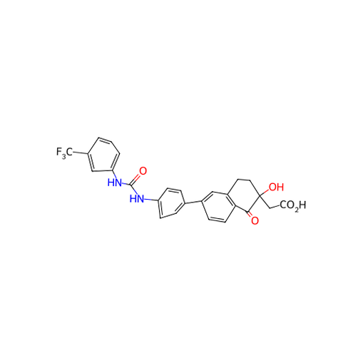 O=C(O)CC1(O)CCc2cc(-c3ccc(NC(=O)Nc4cccc(C(F)(F)F)c4)cc3)ccc2C1=O